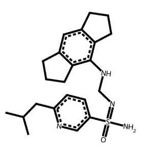 CC(C)Cc1ccc(S(N)(=O)=NCNc2c3c(cc4c2CCC4)CCC3)cn1